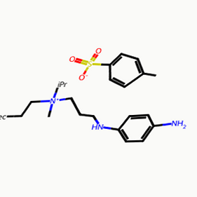 CCCCCCCCCCCC[N+](C)(CCCNc1ccc(N)cc1)C(C)C.Cc1ccc(S(=O)(=O)[O-])cc1